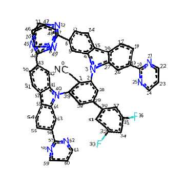 N#Cc1c(-n2c3cc(-c4ncccn4)ccc3c3ccc(-c4ncccn4)cc32)cc(-c2cc(F)cc(F)c2)cc1-n1c2cc(-c3ncccn3)ccc2c2ccc(-c3ncccn3)cc21